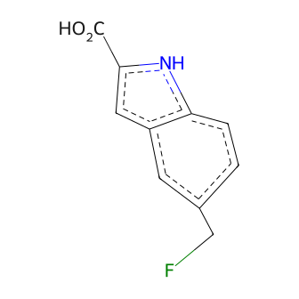 O=C(O)c1cc2cc(CF)ccc2[nH]1